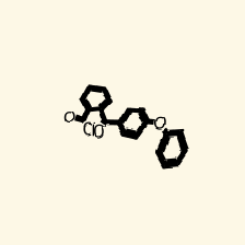 O=C(Cl)c1ccccc1C(=O)c1ccc(Oc2ccccc2)cc1